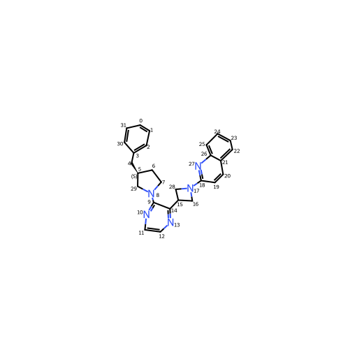 c1ccc(C[C@H]2CCN(c3nccnc3C3CN(c4ccc5ccccc5n4)C3)C2)cc1